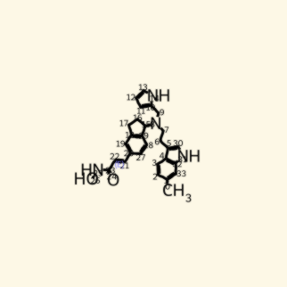 Cc1ccc2c(CCN(Cc3ccc[nH]3)C3CCc4cc(/C=C/C(=O)NO)ccc43)c[nH]c2c1